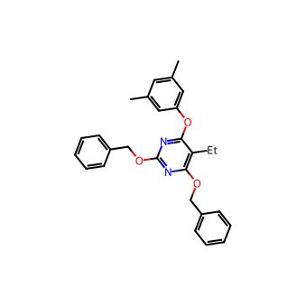 CCc1c(OCc2ccccc2)nc(OCc2ccccc2)nc1Oc1cc(C)cc(C)c1